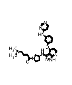 CN(C)C/C=C/C(=O)N1CC[C@@H](Nc2n[nH]c3nccc(Oc4cccc(Nc5ccncn5)c4)c23)C1